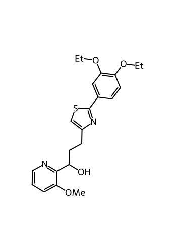 CCOc1ccc(-c2nc(CCC(O)c3ncccc3OC)cs2)cc1OCC